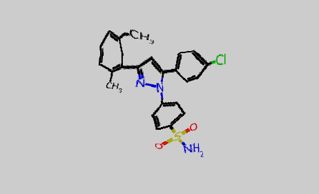 Cc1cccc(C)c1-c1cc(-c2ccc(Cl)cc2)n(-c2ccc(S(N)(=O)=O)cc2)n1